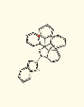 C1=CC2[C@@H](C=C1)P(c1ccccc1)(c1ccccc1)(c1ccccc1)O[C@H]2c1cc2ccccc2o1